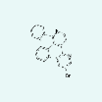 Brc1cnc(-c2ccnc(-c3ccccn3)c2-c2ccccn2)nc1